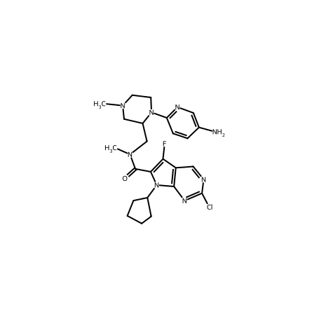 CN1CCN(c2ccc(N)cn2)C(CN(C)C(=O)c2c(F)c3cnc(Cl)nc3n2C2CCCC2)C1